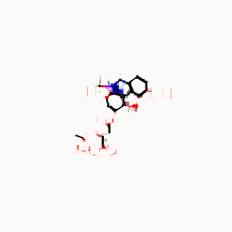 CC(=O)O[C@@H](CC(=O)OC1=CC[C@@]2(O)[C@H]3Cc4ccc(O)c5c4[C@@]2(CCN3C)[C@H]1O5)C(=O)O